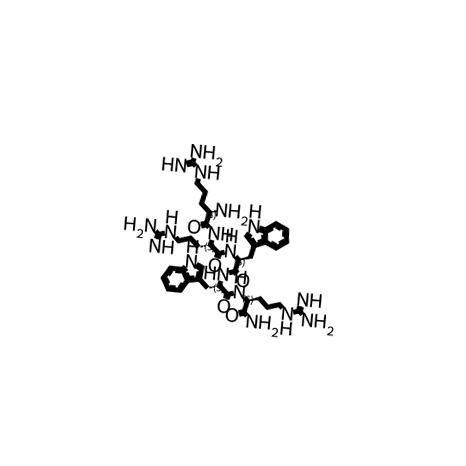 N=C(N)NCCC[C@H](NC(=O)[C@H](Cc1c[nH]c2ccccc12)NC(=O)[C@H](Cc1c[nH]c2ccccc12)NC(=O)[C@H](CCCNC(=N)N)NC(=O)[C@@H](N)CCCNC(=N)N)C(N)=O